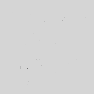 N/C(Cl)=C\N(N)c1ccc(Cl)cc1-c1cc(=O)n(C(Cc2ccccc2)C(=O)N2CCN(c3ccncc3)CC2)cn1